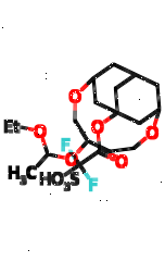 CCOC(C)OC1CCOC2CC3CC(CC(OC(=O)C(F)(F)S(=O)(=O)O)(C3)C2)OC1